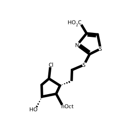 CCCCCCCCC1[C@@H](CCSc2nc(C(=O)O)cs2)C(Cl)C[C@H]1O